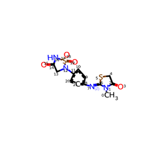 CN1C(=O)CS/C1=N\c1ccc(N2CC(=O)NS2(=O)=O)cc1